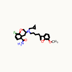 COc1cccc2c(CCCCN(CC3CC3)C3COc4c(F)ccc(C(N)=O)c4C3)coc12